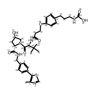 Cc1ncsc1-c1ccc(CNC(=O)[C@@H]2C[C@@H](O)CN2C(=O)[C@@H](NC(=O)CCOc2ccc(CCCNC(=O)O)cc2)C(C)(C)C)cc1